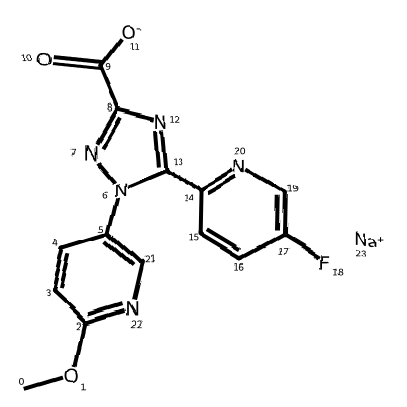 COc1ccc(-n2nc(C(=O)[O-])nc2-c2ccc(F)cn2)cn1.[Na+]